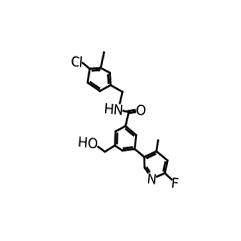 Cc1cc(CNC(=O)c2cc(CO)cc(-c3cnc(F)cc3C)c2)ccc1Cl